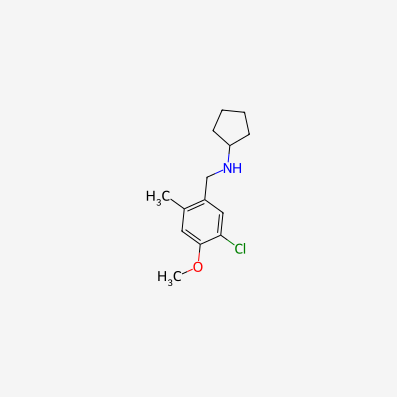 COc1cc(C)c(CNC2CCCC2)cc1Cl